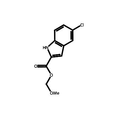 CO[CH]OC(=O)c1cc2cc(Cl)ccc2[nH]1